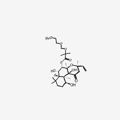 C=C[C@@]1(C)CC(=O)[C@]2(O)[C@@]3(C)[C@@H](O)CCC(C)(C)[C@@H]3[C@H](O)[C@H](OC(=O)C(C)(C)OCOCCOC)[C@@]2(C)O1